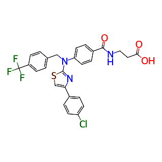 O=C(O)CCNC(=O)c1ccc(N(Cc2ccc(C(F)(F)F)cc2)c2nc(-c3ccc(Cl)cc3)cs2)cc1